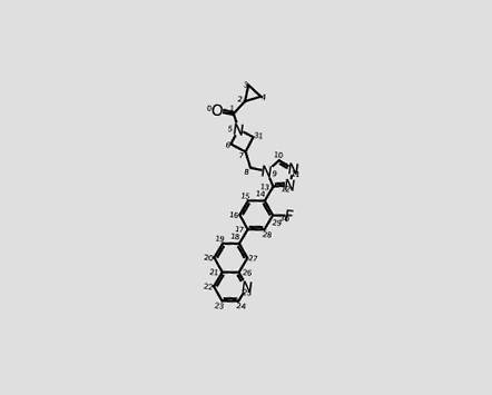 O=C(C1CC1)N1CC(Cn2cnnc2-c2ccc(-c3ccc4cccnc4c3)cc2F)C1